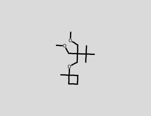 COCC(COC)(COC1(C)CCC1)C(C)(C)C